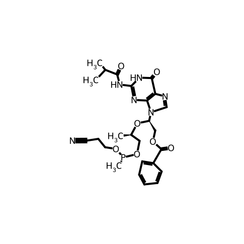 CC(C)C(=O)Nc1nc2c(ncn2[C@@H](COC(=O)c2ccccc2)O[C@H](C)COP(C)OCCC#N)c(=O)[nH]1